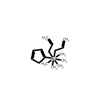 C=C[CH2][Nd]([CH3])([CH3])([CH3])([CH3])([CH3])([CH2]C=C)[C]1=CC=CC1